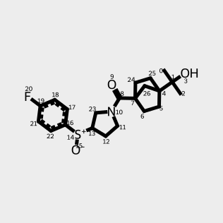 CC(C)(O)C12CCC(C(=O)N3CCC([S+]([O-])c4ccc(F)cc4)C3)(CC1)C2